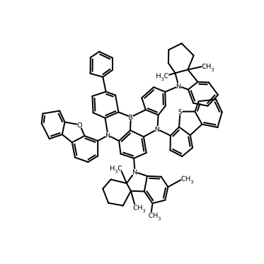 Cc1cc(C)c2c(c1)N(c1cc3c4c(c1)N(c1cccc5c1sc1ccccc15)c1cc(N5c6ccccc6C6(C)CCCCC56C)ccc1B4c1cc(-c4ccccc4)ccc1N3c1cccc3c1oc1ccccc13)C1(C)CCCCC21C